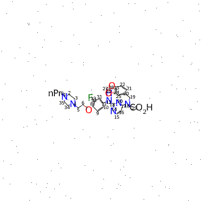 CCCN1CCN(CCOc2ccc(Nc3nccc(N(Cc4ccc5c(c4)OCO5)C(=O)O)n3)cc2F)CC1